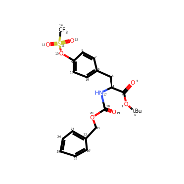 CC(C)(C)OC(=O)[C@H](Cc1ccc(OS(=O)(=O)C(F)(F)F)cc1)NC(=O)OCc1ccccc1